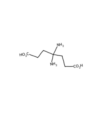 NC(N)(CCC(=O)O)CCC(=O)O